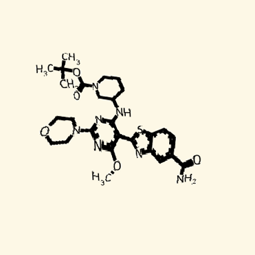 COc1nc(N2CCOCC2)nc(NC2CCCN(C(=O)OC(C)(C)C)C2)c1-c1nc2cc(C(N)=O)ccc2s1